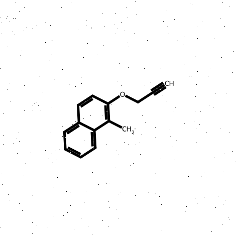 C#CCOc1ccc2ccccc2c1[CH2]